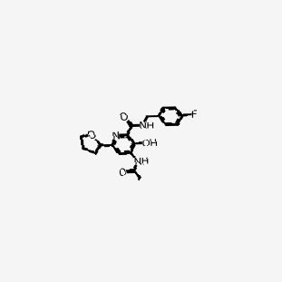 CC(=O)Nc1cc(C2CCCO2)nc(C(=O)NCc2ccc(F)cc2)c1O